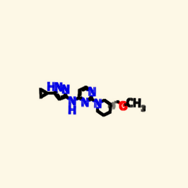 COC[C@@H]1CCCN(c2nccc(Nc3cc(C4CC4)[nH]n3)n2)C1